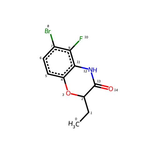 CCC1Oc2ccc(Br)c(F)c2NC1=O